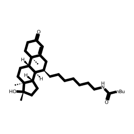 CCCCC(=O)NCCCCCCC[C@@H]1CC2=CC(=O)CC[C@]2(C)[C@H]2CC[C@@]3(C)[C@@H](CC[C@]3(C)O)[C@H]12